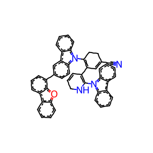 N#CC1=CC(C2=C(n3c4ccccc4c4ccccc43)NCC=C2)=C(n2c3ccccc3c3cc(-c4cccc5c4oc4ccccc45)ccc32)CC1